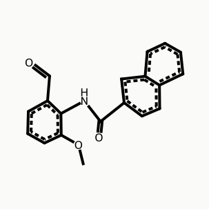 COc1cccc(C=O)c1NC(=O)c1ccc2ccccc2c1